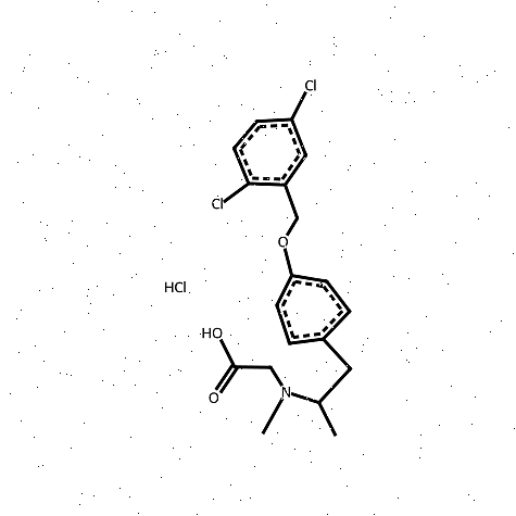 CC(Cc1ccc(OCc2cc(Cl)ccc2Cl)cc1)N(C)CC(=O)O.Cl